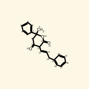 CC1(c2ccccc2)CC(=O)C(C=CCc2ccccc2)C(=O)O1